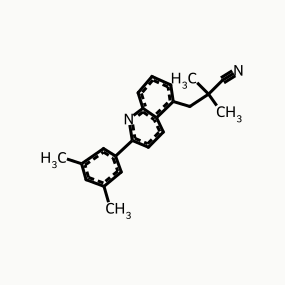 Cc1cc(C)cc(-c2ccc3c(CC(C)(C)C#N)cccc3n2)c1